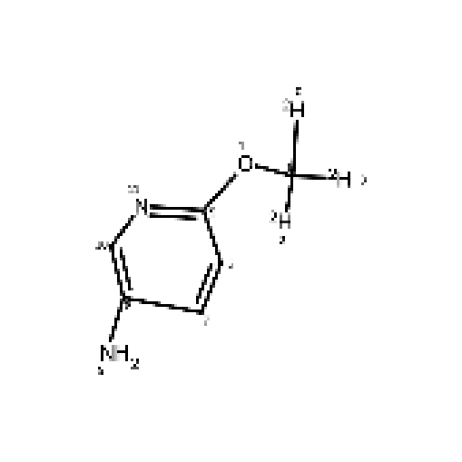 [2H]C([2H])([2H])Oc1ccc(N)cn1